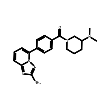 CN(C)C1CCCN(C(=O)c2ccc(-c3cccc4nc(N)nn34)cc2)C1